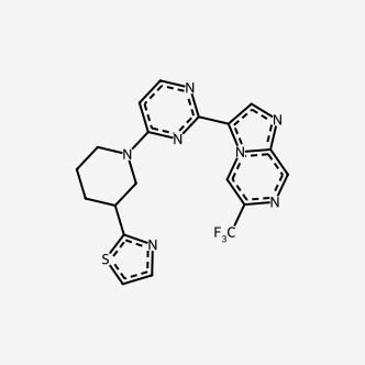 FC(F)(F)c1cn2c(-c3nccc(N4CCCC(c5nccs5)C4)n3)cnc2cn1